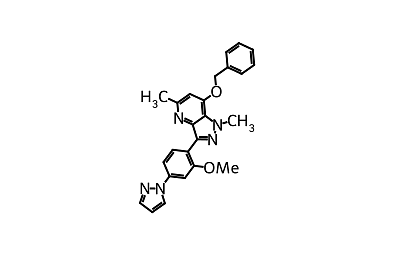 COc1cc(-n2cccn2)ccc1-c1nn(C)c2c(OCc3ccccc3)cc(C)nc12